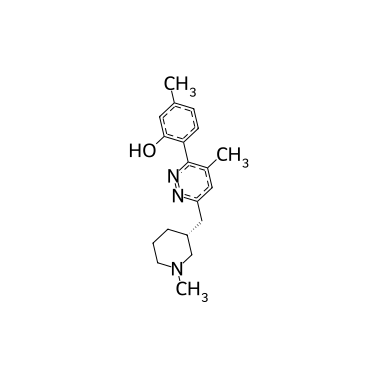 Cc1ccc(-c2nnc(C[C@H]3CCCN(C)C3)cc2C)c(O)c1